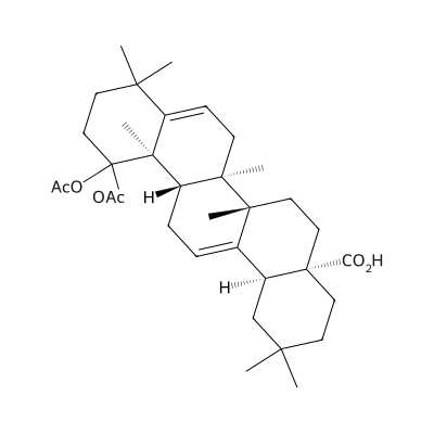 CC(=O)OC1(OC(C)=O)CCC(C)(C)C2=CC[C@]3(C)[C@H](CC=C4[C@@H]5CC(C)(C)CC[C@]5(C(=O)O)CC[C@]43C)[C@]21C